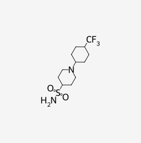 NS(=O)(=O)C1CCN(C2CCC(C(F)(F)F)CC2)CC1